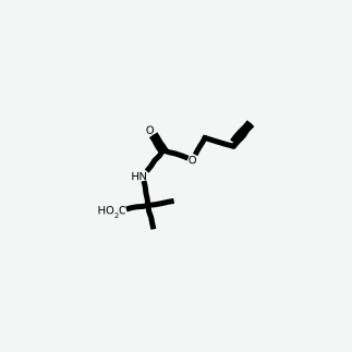 C=CCOC(=O)NC(C)(C)C(=O)O